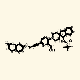 CC(C)(C)[S+]([O-])NC1c2ccccc2CC12CCN(c1ncc(C#CCOc3ccc4c(c3)NC(=O)CC4)nc1CO)CC2